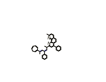 C/C(=C\C(=C/C(C)c1cc(-c2ccccc2)c2ccc3ccc(C)nc3c2n1)c1ccccc1)C1=CCC=CC=C1